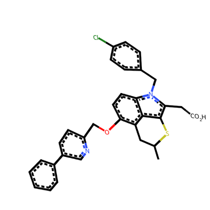 CC1Cc2c(OCc3ccc(-c4ccccc4)cn3)ccc3c2c(c(CC(=O)O)n3Cc2ccc(Cl)cc2)S1